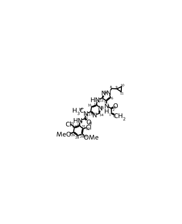 C=CC(=O)Nc1cn(CC2CC2)nc1Nc1cc(N(C)C(=O)Nc2c(Cl)c(OC)cc(OC)c2Cl)ncn1